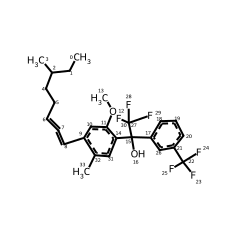 CCC(C)CCC=C=Cc1cc(OC)c(C(O)(c2cccc(C(F)(F)F)c2)C(F)(F)F)cc1C